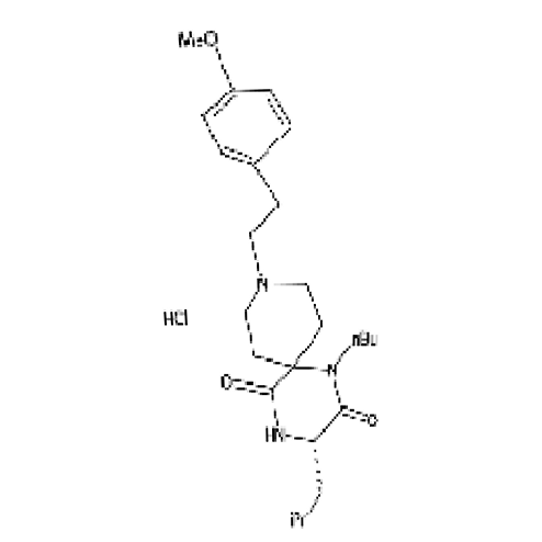 CCCCN1C(=O)[C@H](CC(C)C)NC(=O)C12CCN(CCc1ccc(OC)cc1)CC2.Cl